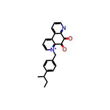 CCC(C)c1ccc(C[n+]2cccc3c2C(=O)C(=O)c2ncccc2-3)cc1